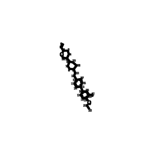 C=CC1CCC(C2CCC(CCc3ccc(-c4ccc(OCC)c(F)c4)cc3)CC2)CO1